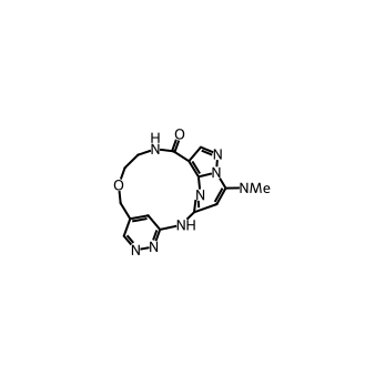 CNc1cc2nc3c(cnn13)C(=O)NCCOCc1cnnc(c1)N2